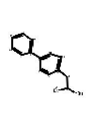 CCCCC(CC)Cc1ccc(-c2cc[c]cc2)cc1